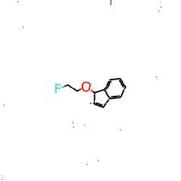 FCCOC1[C]=Cc2ccccc21